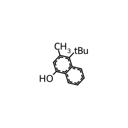 Cc1cc(O)c2ccccc2c1C(C)(C)C